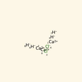 [Ca+2].[Ca+2].[Ca+2].[Cl-].[Cl-].[H-].[H-].[H-].[H-]